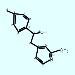 Cc1ccc(C(O)Cc2ccnc(N)c2)cc1